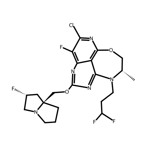 C[C@H]1COc2nc(Cl)c(F)c3nc(OC[C@@]45CCCN4C[C@H](F)C5)nc(c23)N1CCC(F)F